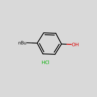 CCCCc1ccc(O)cc1.Cl